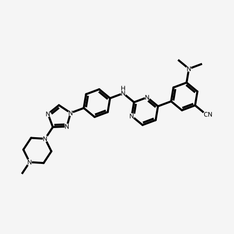 CN1CCN(c2ncn(-c3ccc(Nc4nccc(-c5cc(C#N)cc(N(C)C)c5)n4)cc3)n2)CC1